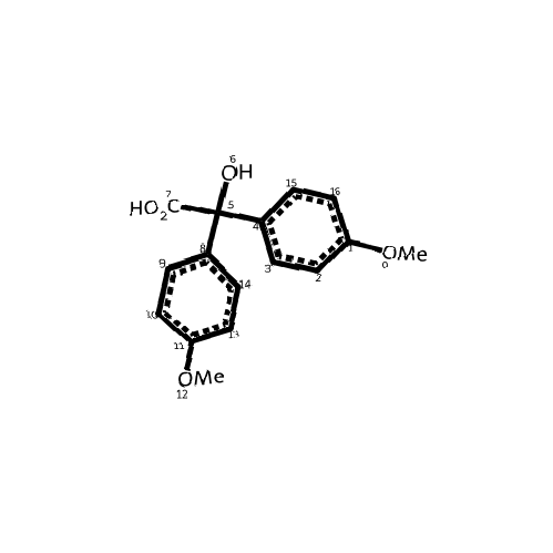 COc1ccc(C(O)(C(=O)O)c2ccc(OC)cc2)cc1